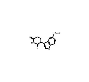 CCCCCc1ccc2occ(C3CCC(=O)NC3=O)c2c1